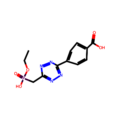 CCOP(=O)(O)Cc1nnc(-c2ccc(C(=O)O)cc2)nn1